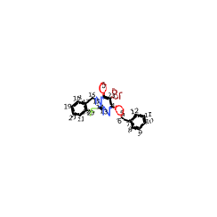 O=c1c(Br)c(OCc2ccccc2)ncn1Cc1ccccc1F